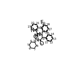 O=C(NC1CCCCC1)C(c1ccccc1)N(C(=O)c1ccccn1)c1cccc(F)c1